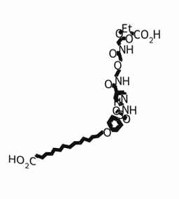 CCOC(CNC(=O)COCCNC(=O)c1cnc(NS(=O)(=O)c2ccc(OCCCCCCCCCCCCCCCC(=O)O)cc2)nc1)OCC(=O)O